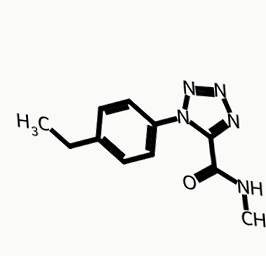 CCc1ccc(-n2nnnc2C(=O)NC)cc1